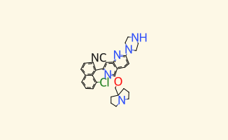 N#Cc1c(-c2cccc3cccc(Cl)c23)nc(OCC23CCCN2CCC3)c2ccc(N3CCNCC3)nc12